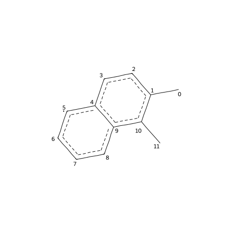 Cc1ccc2[c]cccc2c1C